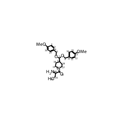 COc1ccc(COC(OCc2ccc(OC)cc2)C2CCN(C(=O)C(N)CO)CC2)cc1